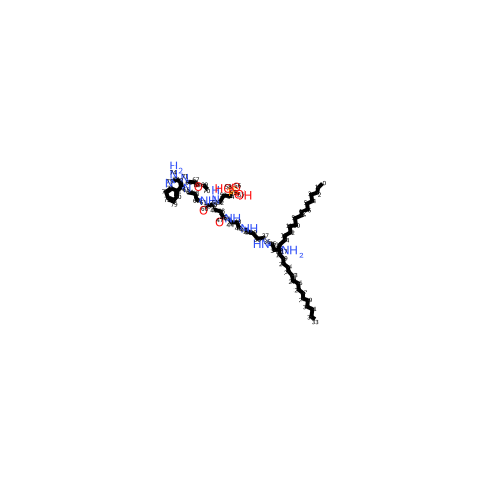 CCCCCCCCCCCCCCCCC(N)(CCCCCCCCCCCCCCCC)CCNCCCCNCCCNC(=O)CC[C@H](NCCCP(=O)(O)O)C(=O)NCCCn1c(COCC)nc2c(N)nc3ccccc3c21